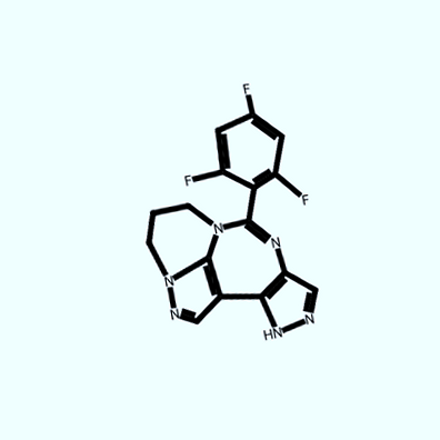 Fc1cc(F)c(C2=Nc3cn[nH]c3-c3cnn4c3N2CCC4)c(F)c1